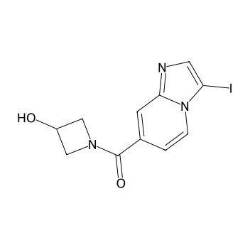 O=C(c1ccn2c(I)cnc2c1)N1CC(O)C1